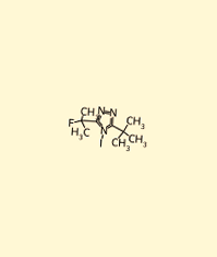 CC(C)(C)c1nnc(C(C)(C)F)n1I